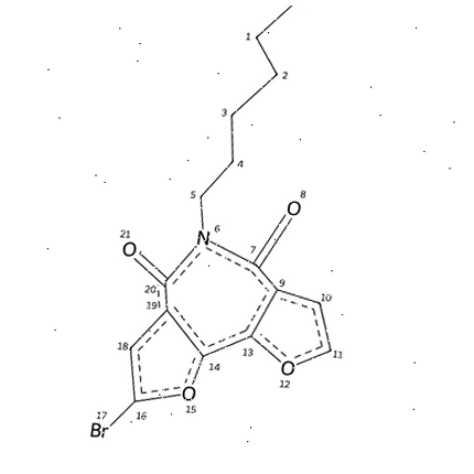 CCCCCCn1c(=O)c2ccoc2c2oc(Br)cc2c1=O